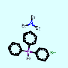 CCN(CC)CC.CC[P+](c1ccccc1)(c1ccccc1)c1ccccc1.[Br-]